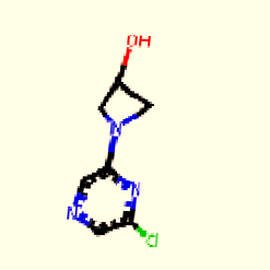 OC1CN(c2cncc(Cl)n2)C1